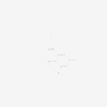 CCOC(=O)c1cc(CC)c(Br)c(C(C)(C)C)c1C(=O)O